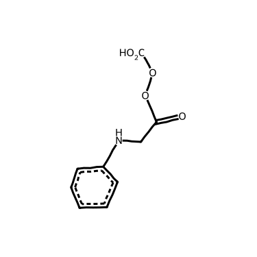 O=C(O)OOC(=O)CNc1ccccc1